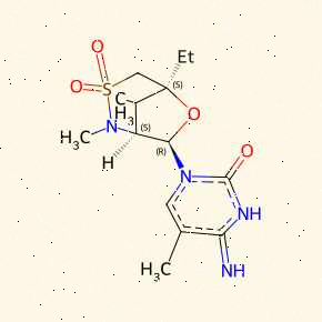 CC[C@@]12CS(=O)(=O)N(C)[C@@H](C1C)[C@H](n1cc(C)c(=N)[nH]c1=O)O2